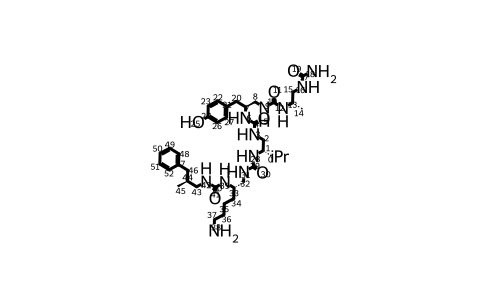 CC(C)[C@@H](CNC(=O)N[C@H](CNC(=O)N[C@@H](C)CNC(N)=O)Cc1ccc(O)cc1)NC(=O)NC[C@H](CCCCN)NC(=O)NC[C@@H](C)Cc1ccccc1